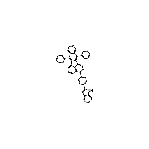 c1ccc(-c2c3c(c(-c4ccccc4)c4ccccc24)-c2ccc(-c4ccc(-c5cc6ccccc6[nH]5)cc4)c4cccc-3c24)cc1